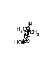 Cc1cc(C#N)cc2c1cc(Cc1c(Cl)ccc(C(=O)N3CC[C@H](O)C3)c1Cl)n2C